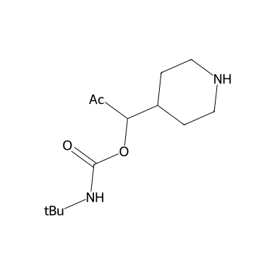 CC(=O)C(OC(=O)NC(C)(C)C)C1CCNCC1